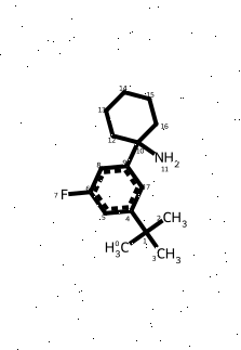 CC(C)(C)c1cc(F)cc(C2(N)CCCCC2)c1